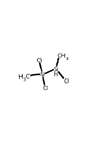 C[SiH](Cl)[Si](C)(Cl)Cl